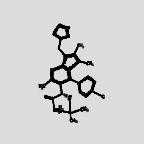 CC(=O)[C@@H](OC(C)(C)C)c1c(C)nc2c(c(C)c(C)n2Cc2ccoc2)c1-c1ccc(Cl)cc1